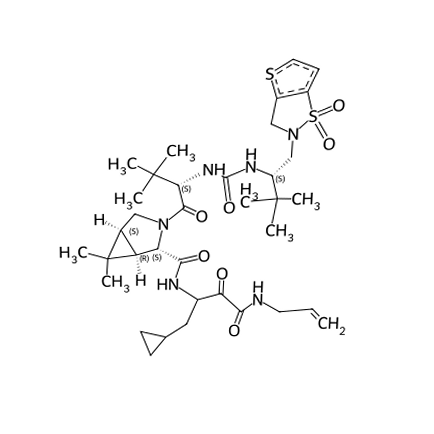 C=CCNC(=O)C(=O)C(CC1CC1)NC(=O)[C@@H]1[C@@H]2[C@H](CN1C(=O)[C@@H](NC(=O)N[C@H](CN1Cc3sccc3S1(=O)=O)C(C)(C)C)C(C)(C)C)C2(C)C